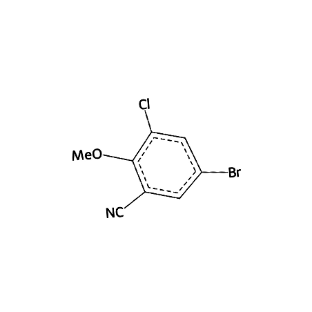 COc1c(Cl)cc(Br)cc1C#N